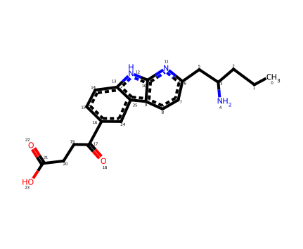 CCCC(N)Cc1ccc2c(n1)[nH]c1ccc(C(=O)CCC(=O)O)cc12